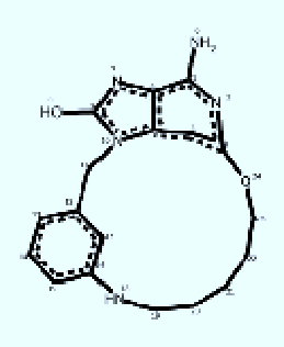 Nc1nc2cc3c1nc(O)n3Cc1cccc(c1)NCCCCCO2